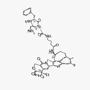 CC[C@@]1(O)C(=O)OCc2c1cc1n(c2=O)Cc2c-1nc1cc(F)c(C)c3c1c2[C@@H](NC(=O)CCCNC(=O)CNC(=O)[C@H](Cc1ccccc1)NC(=O)CN)CC3